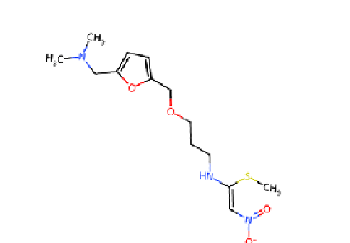 CSC(=C[N+](=O)[O-])NCCCOCc1ccc(CN(C)C)o1